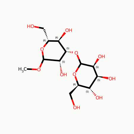 COC1O[C@H](CO)[C@@H](O)[C@H](OC2O[C@H](CO)[C@@H](O)[C@H](O)[C@@H]2O)[C@@H]1O